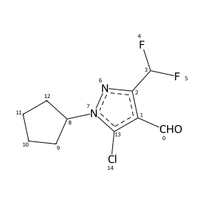 O=Cc1c(C(F)F)nn(C2CCCC2)c1Cl